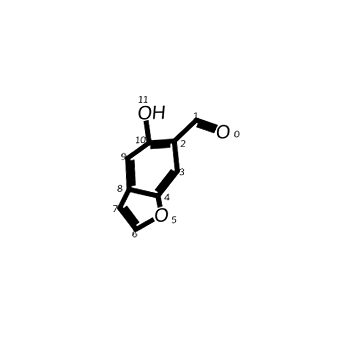 O=Cc1cc2occc2cc1O